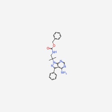 CC(C)(CNC(=O)OCc1ccccc1)n1nc(-c2ccccc2)c2c(N)ncnc21